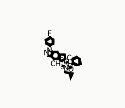 C[C@@H]1C2=C(CC[C@@H]2CN(CC2CC2)S(=O)(=O)c2ccccc2C(F)(F)F)Cc2c1cnn2-c1ccc(F)cc1